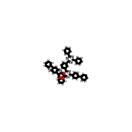 c1ccc(-c2ccc(-c3nc(-c4ccccc4)nc(-c4cc(-c5nc(-c6ccccc6)nc(-c6ccccc6)n5)ccc4-n4c5ccccc5c5cc6sc7ccccc7c6cc54)n3)cc2)cc1